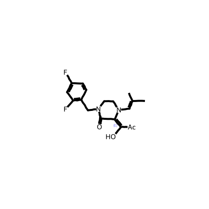 CC(=O)/C(O)=C1/C(=O)N(Cc2ccc(F)cc2F)CCN1C=C(C)C